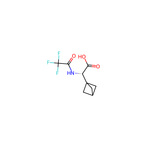 O=C(O)[C@@H](NC(=O)C(F)(F)F)C12CC(C1)C2